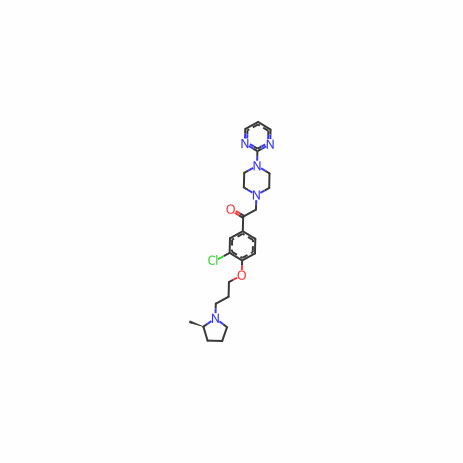 C[C@@H]1CCCN1CCCOc1ccc(C(=O)CN2CCN(c3ncccn3)CC2)cc1Cl